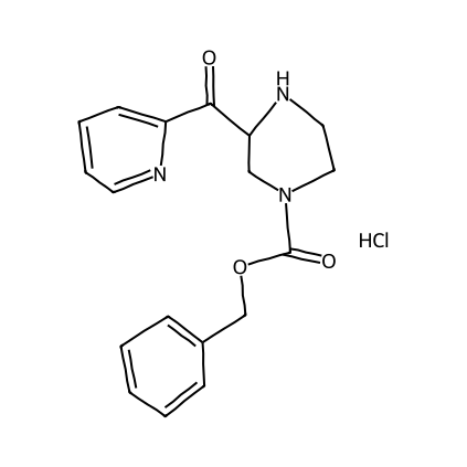 Cl.O=C(c1ccccn1)C1CN(C(=O)OCc2ccccc2)CCN1